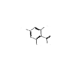 CCCCCc1cc(OC)cc(OC)c1C(=O)OC